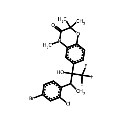 CC(c1ccc(Br)cc1Cl)C(O)(c1ccc2c(c1)N(C)C(=O)C(C)(C)O2)C(F)(F)F